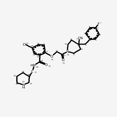 N#CC1(Cc2ccc(F)cc2)CCN(C(=O)COc2ccc(Cl)cc2C(=O)NCC2CCCNC2)CC1